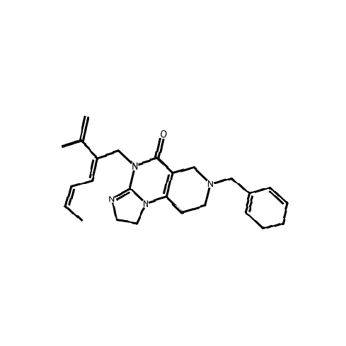 C=C(C)/C(=C\C=C/C)CN1C(=O)C2=C(CCN(CC3=CCCC=C3)C2)N2CCN=C12